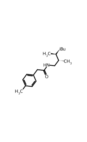 CC[C@H](C)[C@H](C)[C@H](C)CNC(=O)Cc1ccc(C)cc1